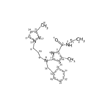 CSNC(=O)c1nc(N(CCCn2ccc(C)n2)Cc2ccccc2)sc1C